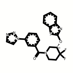 O=C(c1cccc(-n2ccnn2)c1)N1CCC(F)(F)[C@@H](Oc2nc3ccccc3s2)C1